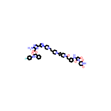 Nc1ncc(-c2cnn(C3CCN(CCC4CCN(C5CC6(CCN(C(=O)Cc7cccc(NC8=CC(=O)N(C9CCC(=O)NC9=O)C8=O)c7)CC6)C5)CC4)CC3)c2)nc1C(=O)O[C@@H](C(=O)Nc1ccc(F)cc1)c1ccccc1